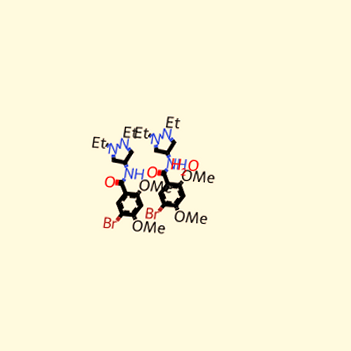 CCN1CC(NC(=O)c2cc(Br)c(OC)cc2OC)CN1CC.CCN1CC(NC(=O)c2cc(Br)c(OC)cc2OC)CN1CC.O